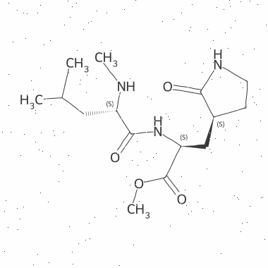 CN[C@@H](CC(C)C)C(=O)N[C@@H](C[C@@H]1CCNC1=O)C(=O)OC